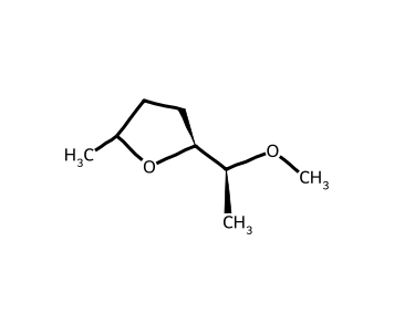 CO[C@@H](C)[C@@H]1CCC(C)O1